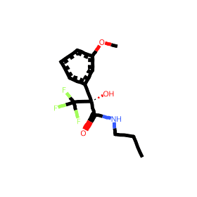 CCCNC(=O)[C@](O)(c1cccc(OC)c1)C(F)(F)F